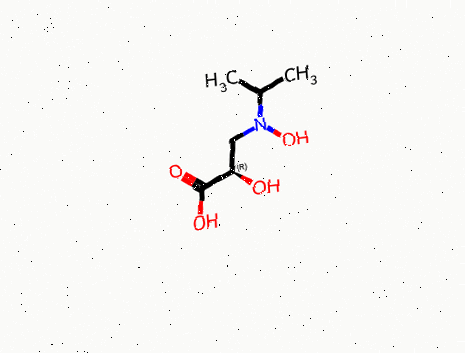 CC(C)N(O)C[C@@H](O)C(=O)O